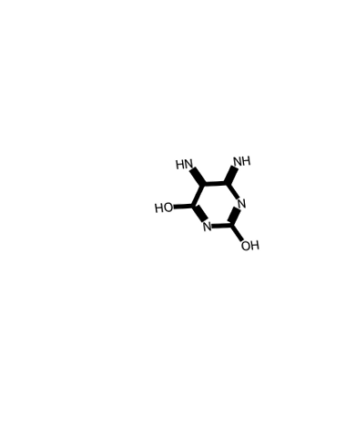 N=C1N=C(O)N=C(O)C1=N